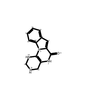 O=c1[nH]c2c(n3c1cc1ccccc13)NCNC2